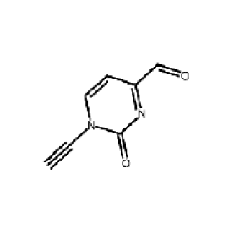 C#Cn1ccc(C=O)nc1=O